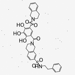 O=C(c1cc(S(=O)(=O)N2CCc3ccccc3C2)c(O)c(O)c1O)N1CCc2ccc(S(=O)(=O)NCCc3ccccc3)cc2C1